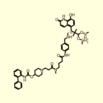 C[SiH2]OC(O[SiH2]C)C(C)(C)[C@H](CNCc1ccc(NC(=O)CCCN(C)C(=O)CCN2CCC(OC(=O)Nc3ccccc3-c3ccccc3)CC2)cc1)c1ccc(O)c2[nH]c(=O)ccc12